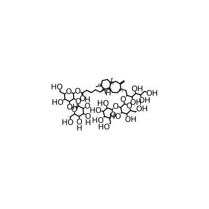 C=C1C[C@@]2(C)CC[C@H](C)[C@@](C)(CCCCC(=O)OC3OC(CO)C(O)C(O)C3OC3OC(CO)C(O)C(O)C3O)[C@@H]2CC[C@@H]1CC(OC1OC(CO)C(O)C(O)C1OC1OC(CO)C(O)C(O)C1O)C(O)C(O)C(O)CO